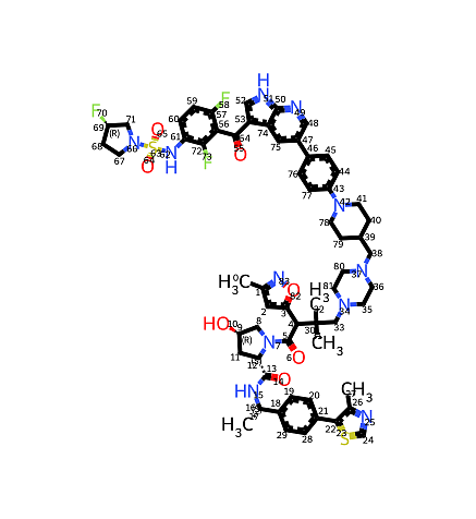 Cc1cc(C(C(=O)N2C[C@H](O)C[C@H]2C(=O)N[C@@H](C)c2ccc(-c3scnc3C)cc2)C(C)(C)CN2CCN(CC3CCN(c4ccc(-c5cnc6[nH]cc(C(=O)c7c(F)ccc(NS(=O)(=O)N8CC[C@@H](F)C8)c7F)c6c5)cc4)CC3)CC2)on1